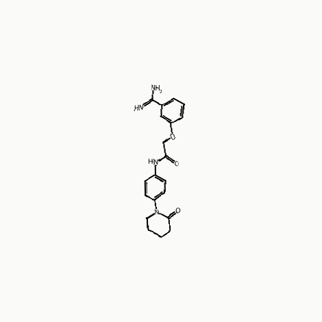 N=C(N)c1cccc(OCC(=O)Nc2ccc(N3CCCCC3=O)cc2)c1